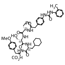 COc1ccc(C[C@@H](NC(=O)[C@H](CC2CCCCC2)NC(=O)[C@H](CO)NC(=O)[C@H](CC(C)C)NC(=O)Cc2ccc(NC(=O)Nc3ccccc3C)cc2)C(=O)O)cc1